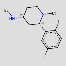 CCN[C@@H]1CCN(CC)[C@H](c2cc(F)ccc2F)C1